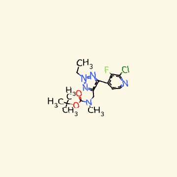 CCn1nc(CN(C)C(=O)OC(C)(C)C)c(-c2ccnc(Cl)c2F)n1